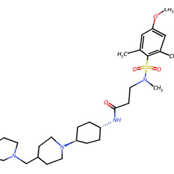 COc1cc(C)c(S(=O)(=O)N(C)CCC(=O)N[C@H]2CC[C@H](N3CCC(CN4CCOCC4)CC3)CC2)c(C)c1